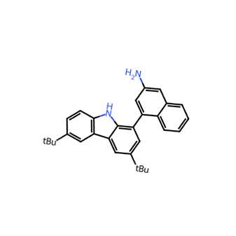 CC(C)(C)c1ccc2[nH]c3c(-c4cc(N)cc5ccccc45)cc(C(C)(C)C)cc3c2c1